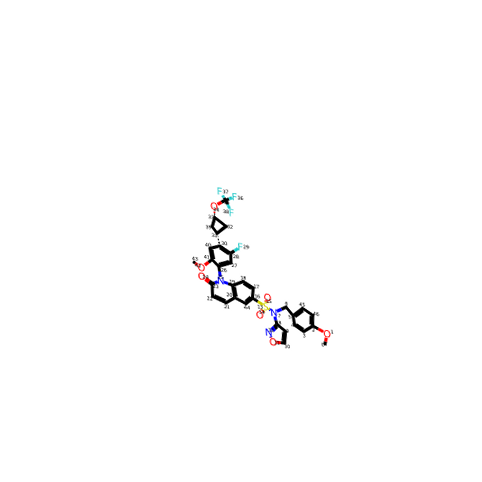 COc1ccc(CN(c2ccon2)S(=O)(=O)c2ccc3c(ccc(=O)n3-c3cc(F)c([C@H]4C[C@@H](OC(F)(F)F)C4)cc3OC)c2)cc1